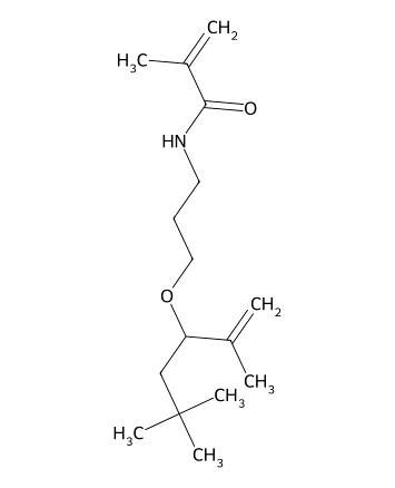 C=C(C)C(=O)NCCCOC(CC(C)(C)C)C(=C)C